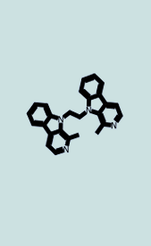 Cc1nccc2c3ccccc3n(CCn3c4ccccc4c4ccnc(C)c43)c12